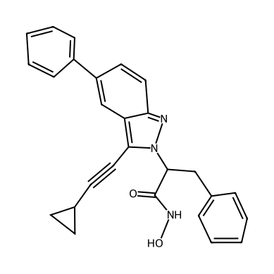 O=C(NO)C(Cc1ccccc1)n1nc2ccc(-c3ccccc3)cc2c1C#CC1CC1